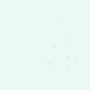 Nc1ncnn1-c1nc2cncc(-c3ccc(Cl)cc3Cl)c2n1-c1ccccc1